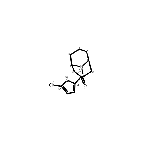 O=C1CC2CCCC(C1)N2Sc1ccc(Cl)s1